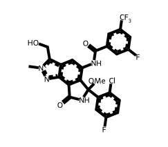 COC1(c2cc(F)ccc2Cl)NC(=O)c2c1c(NC(=O)c1cc(F)cc(C(F)(F)F)c1)cc1c(CO)n(C)nc21